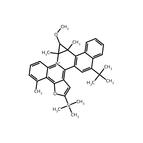 COC1C2(C)c3c(cc(C(C)(C)C)c4ccccc34)-c3c4cc([Si](C)(C)C)oc4c4c(C)cccc4[n+]3C12C